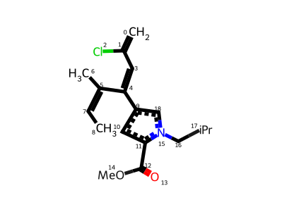 C=C(Cl)/C=C(\C(C)=C/C)c1cc(C(=O)OC)n(CC(C)C)c1